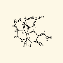 C[C@@H]1C(=O)C(=CO)C[C@]2(c3cccc(F)c3)c3ncncc3CC[C@@H]12